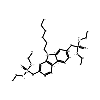 CCCCCCn1c2cc(CP(=O)(OCC)OCC)ccc2c2ccc(CP(=O)(OCC)OCC)cc21